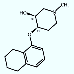 CN1CC[C@@H](Oc2cccc3c2CCCC3)[C@@H](O)C1